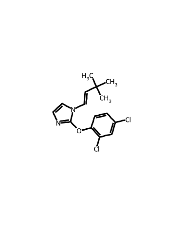 CC(C)(C)C=Cn1ccnc1Oc1ccc(Cl)cc1Cl